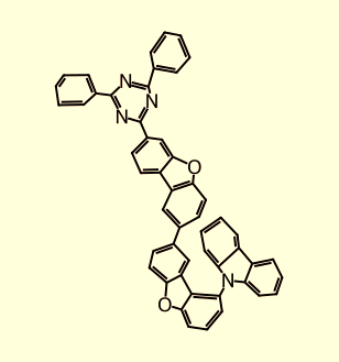 c1ccc(-c2nc(-c3ccccc3)nc(-c3ccc4c(c3)oc3ccc(-c5ccc6oc7cccc(-n8c9ccccc9c9ccccc98)c7c6c5)cc34)n2)cc1